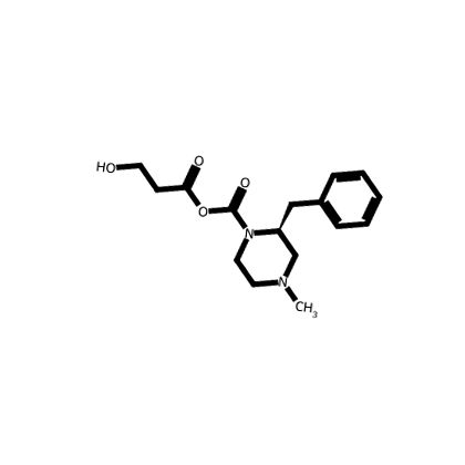 CN1CCN(C(=O)OC(=O)CCO)[C@@H](Cc2ccccc2)C1